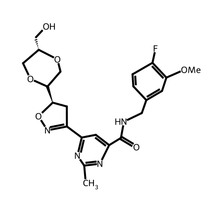 COc1cc(CNC(=O)c2cc(C3=NO[C@@H](C4CO[C@@H](CO)CO4)C3)nc(C)n2)ccc1F